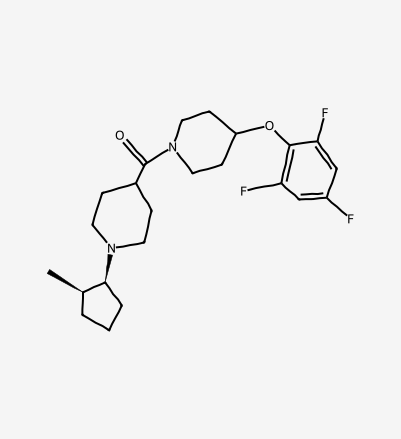 C[C@@H]1CCC[C@@H]1N1CCC(C(=O)N2CCC(Oc3c(F)cc(F)cc3F)CC2)CC1